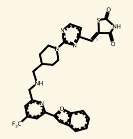 O=C1NC(=O)/C(=C/c2ccnc(N3CCC(CNCc4cc(C(F)(F)F)cc(-c5cc6ccccc6o5)n4)CC3)n2)S1